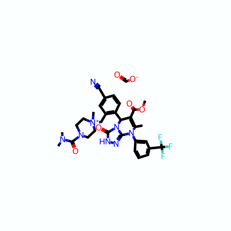 COC(=O)C1=C(C)N(c2cccc(C(F)(F)F)c2)c2n[nH]c(=O)n2C1c1ccc(C#N)cc1C[N+]1(C)CCN(C(=O)N(C)C)CC1.O=C[O-]